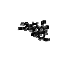 CC[C@H]1[C@@H](O)C2C3CC[C@H]([C@H](C)CC#N)[C@@]3(C)CCC2[C@@]2(C)CC[C@@H](O)C[C@@H]12